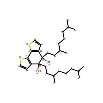 CC(C)CCCC(C)CCC1(O)c2ccsc2-c2sccc2C1(O)CCC(C)CCCC(C)C